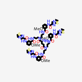 COc1ccc(NC(=O)c2cn3ccsc3n2)cc1C(=O)NCCCN(CCCNC(=O)c1cc(NC(=O)c2cn3ccsc3n2)ccc1OC)C(=O)CC[C@H](N)C(=O)N(CCCNC(=O)c1cc(NC(=O)c2cn3ccsc3n2)ccc1OC)CCCNC(=O)c1cc(NC(=O)c2cn3ccsc3n2)ccc1OC